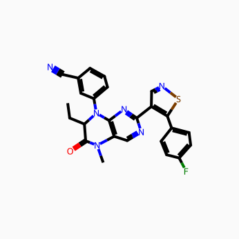 CCC1C(=O)N(C)c2cnc(-c3cnsc3-c3ccc(F)cc3)nc2N1c1cccc(C#N)c1